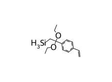 C=Cc1ccc(C(C[SiH3])(OCC)OCC)cc1